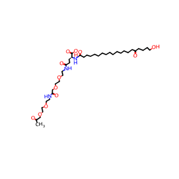 CC(=O)COCCOCCNC(=O)COCCOCCNC(=O)CC[C@H](NC(=O)CCCCCCCCCCCCCCC(=O)CCCCO)C(=O)O